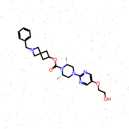 C[C@@H]1CN(c2ncc(OCCO)cn2)C[C@H](C)N1C(=O)OC1CC2(C1)CN(Cc1ccccc1)C2